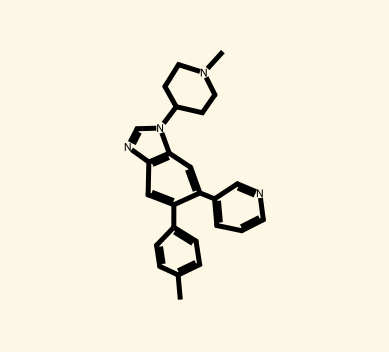 Cc1ccc(-c2cc3ncn(C4CCN(C)CC4)c3cc2-c2cccnc2)cc1